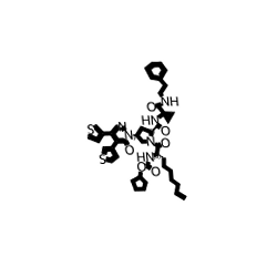 C=CCCCCC[C@H](NC(=O)OC1CCCC1)C(=O)N1C[C@H](n2ncc(-c3ccsc3)c(-c3ccsc3)c2=O)C[C@H]1C(=O)NC1(C(=O)NCCc2ccccc2)CC1